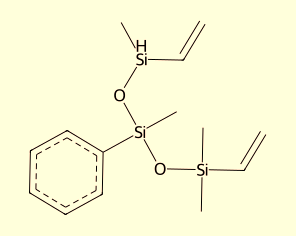 C=C[SiH](C)O[Si](C)(O[Si](C)(C)C=C)c1ccccc1